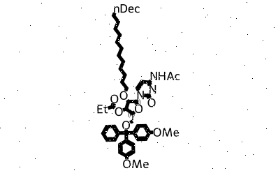 CCCCCCCCCCCCCCCCCCCCCCOC1C(OC(=O)CC)[C@@H](COC(c2ccccc2)(c2ccc(OC)cc2)c2ccc(OC)cc2)O[C@H]1n1ccc(NC(C)=O)nc1=O